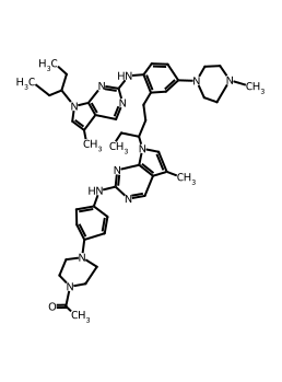 CCC(CCc1cc(N2CCN(C)CC2)ccc1Nc1ncc2c(C)cn(C(CC)CC)c2n1)n1cc(C)c2cnc(Nc3ccc(N4CCN(C(C)=O)CC4)cc3)nc21